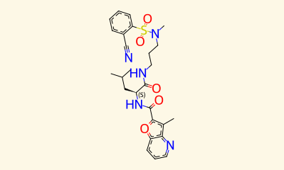 Cc1c(C(=O)N[C@@H](CC(C)C)C(=O)NCCCN(C)S(=O)(=O)c2ccccc2C#N)oc2cccnc12